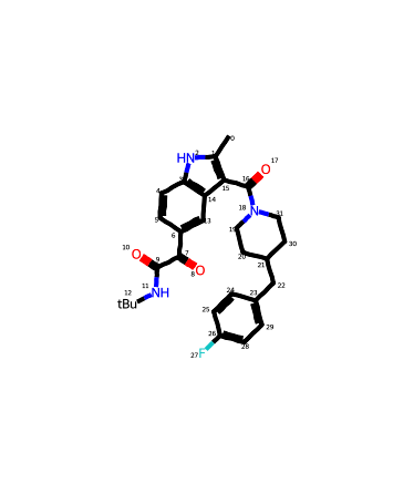 Cc1[nH]c2ccc(C(=O)C(=O)NC(C)(C)C)cc2c1C(=O)N1CCC(Cc2ccc(F)cc2)CC1